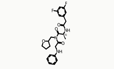 C[C@H](NC(=O)Cc1cc(F)cc(F)c1)C(=O)N(CC1CCCO1)C(=O)CNc1ccccc1